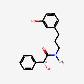 CN(CCCc1cccc(O)c1)C(=O)[C@H](O)c1ccccc1